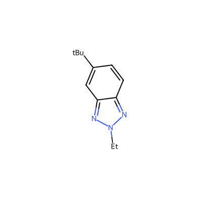 CCn1nc2ccc(C(C)(C)C)cc2n1